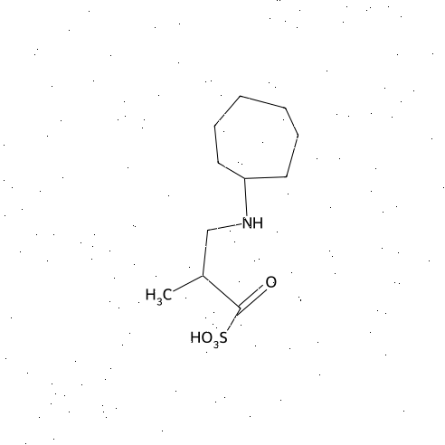 CC(CNC1CCCCCC1)C(=O)S(=O)(=O)O